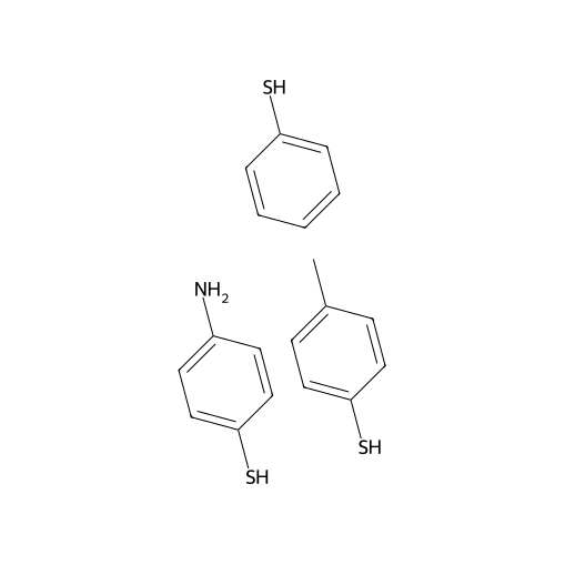 Cc1ccc(S)cc1.Nc1ccc(S)cc1.Sc1ccccc1